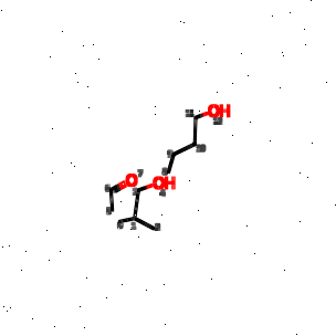 CC(C)CO.CC=O.CCCCO